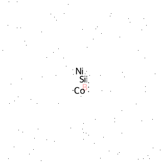 [B].[Co].[Ni].[Si]